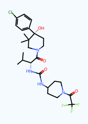 CC(C)[C@@H](NC(=O)NC1CCN(C(=O)C(F)(F)F)CC1)C(=O)N1CC[C@](O)(c2ccc(Cl)cc2)C(C)(C)C1